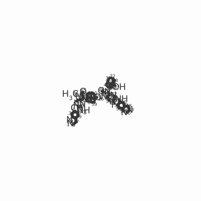 Cc1cc2nnccc2cc1Nc1ncc2c(n1)n(C13CC4CC5(OCn6c(=O)n(C78CC9CC(CC(O)(C9)C7)C8)c7nc(Nc8cc9cncnc9cc8F)ncc76)CC(C1)C53C4)c(=O)n2C